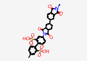 Cc1ccc(-c2ccc(N3C(=O)c4ccc(-c5ccc6c(c5)C(=O)N(C)C6=O)cc4C3=O)cc2S(=O)(=O)O)c(S(=O)(=O)O)c1